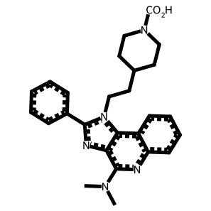 CN(C)c1nc2ccccc2c2c1nc(-c1ccccc1)n2CCC1CCN(C(=O)O)CC1